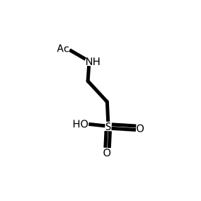 [CH2]C(=O)NCCS(=O)(=O)O